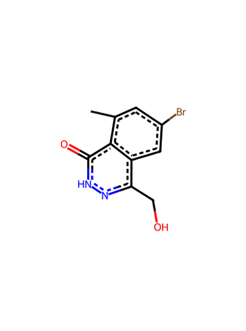 Cc1cc(Br)cc2c(CO)n[nH]c(=O)c12